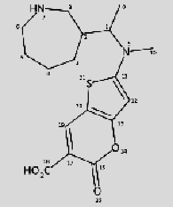 CC(C1CCCCNC1)N(C)c1cc2oc(=O)c(C(=O)O)cc2s1